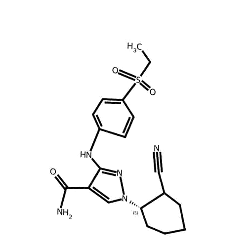 CCS(=O)(=O)c1ccc(Nc2nn([C@H]3CCCCC3C#N)cc2C(N)=O)cc1